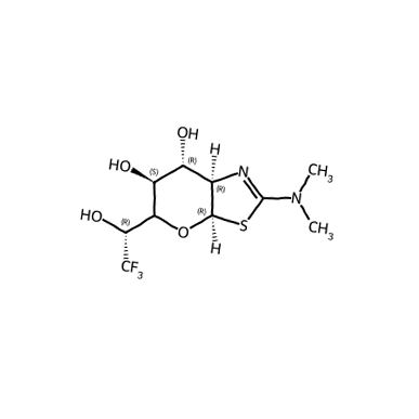 CN(C)C1=N[C@@H]2[C@@H](O)[C@H](O)C([C@@H](O)C(F)(F)F)O[C@@H]2S1